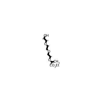 CCOC(=O)[C@H](C)OCCOCCOCCO